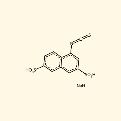 O=S(=O)(O)c1ccc2c(N=C=S)cc(S(=O)(=O)O)cc2c1.[NaH]